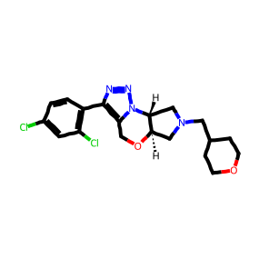 Clc1ccc(-c2nnn3c2CO[C@@H]2CN(CC4CCOCC4)C[C@H]23)c(Cl)c1